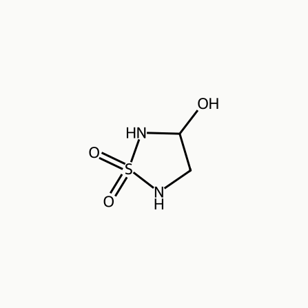 O=S1(=O)NCC(O)N1